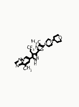 Cc1nc(-c2n[nH]c(-c3cc(C)c4ncnn4c3)c2CC(F)(F)F)sc1N1CCN(C2CCOCC2)CC1